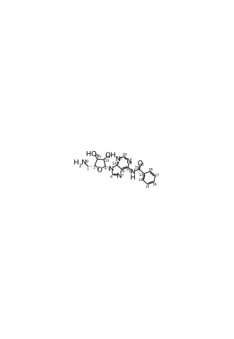 NC[C@H]1O[C@@H](n2cnc3c(NC(=O)c4ccccc4)ncnc32)C(O)C1O